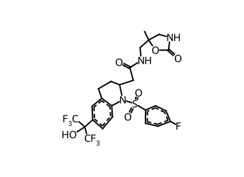 CC1(CNC(=O)CC2CCc3cc(C(O)(C(F)(F)F)C(F)(F)F)ccc3N2S(=O)(=O)c2ccc(F)cc2)CNC(=O)O1